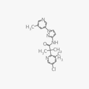 Cc1cncc(-n2ccc(NC(=O)C(C)(C)c3ncc(Cl)cc3C)n2)c1